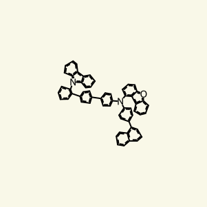 c1ccc(-n2c3ccccc3c3ccccc32)c(-c2ccc(-c3ccc(N(c4ccc(-c5cccc6ccccc56)cc4)c4cccc5oc6ccccc6c45)cc3)cc2)c1